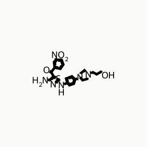 Nc1nc(Nc2ccc(N3CCN(CCCO)CC3)cc2)sc1C(=O)c1cccc([N+](=O)[O-])c1